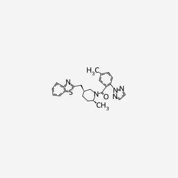 Cc1ccc(-n2nccn2)c(C(=O)N2C[C@H](Cc3nc4ccccc4s3)CC[C@@H]2C)c1